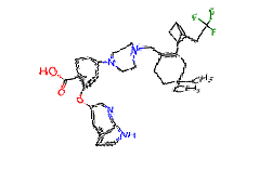 CC1(C)CCC(CN2CCN(c3ccc(C(=O)O)c(Oc4cnc5[nH]ccc5c4)c3)CC2)=C(C23CC(C2)C3CC(F)(F)F)C1